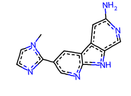 Cn1ccnc1-c1cnc2[nH]c3cnc(N)cc3c2c1